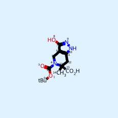 CC(C)(C)OC(=O)N1Cc2c(O)n[nH]c2CC1(C)C(=O)O